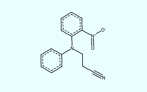 N#CCCN(c1ccccc1)c1ccccc1[N+](=O)[O-]